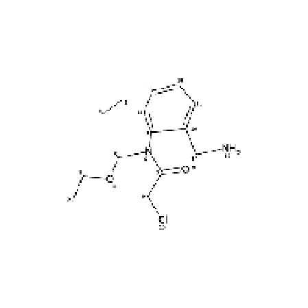 CC.CCOCN(C(=O)CCl)c1ccccc1CN